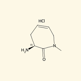 CN1CC=CC[C@H](N)C1=O.Cl